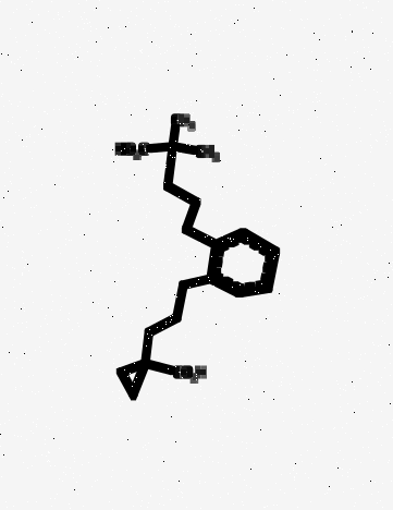 CC(C)(CCCc1ccccc1CCCC1(C(=O)O)CC1)C(=O)O